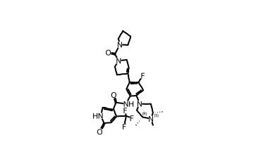 C[C@@H]1CN(c2cc(F)c(C3=CCN(C(=O)N4CCCC4)CC3)cc2NC(=O)c2c[nH]c(=O)cc2C(F)(F)F)C[C@H](C)N1C